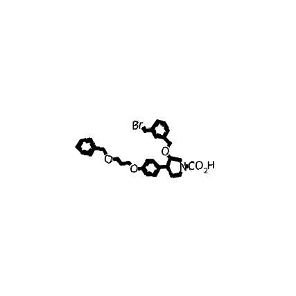 O=C(O)N1CCC(c2ccc(OCCCOCc3ccccc3)cc2)C(OCc2cccc(CBr)c2)C1